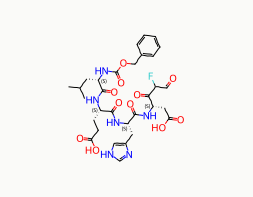 CC(C)C[C@H](NC(=O)OCc1ccccc1)C(=O)N[C@@H](CCC(=O)O)C(=O)N[C@@H](Cc1c[nH]cn1)C(=O)N[C@@H](CC(=O)O)C(=O)C(F)C=O